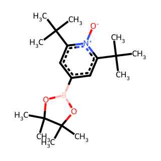 CC(C)(C)c1cc(B2OC(C)(C)C(C)(C)O2)cc(C(C)(C)C)[n+]1[O-]